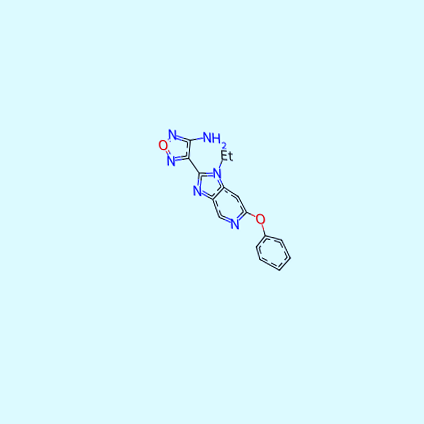 CCn1c(-c2nonc2N)nc2cnc(Oc3ccccc3)cc21